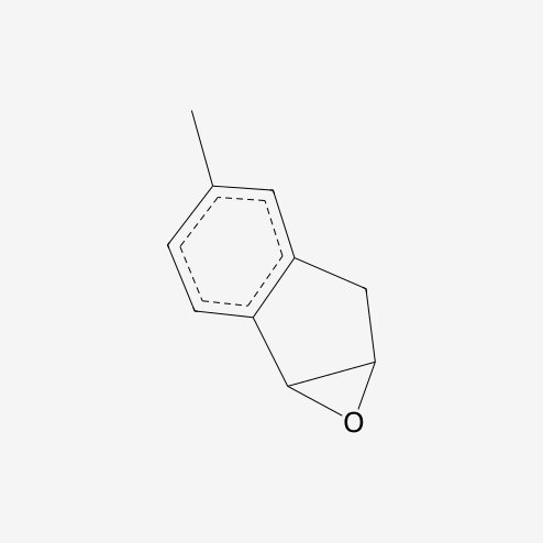 Cc1ccc2c(c1)CC1OC21